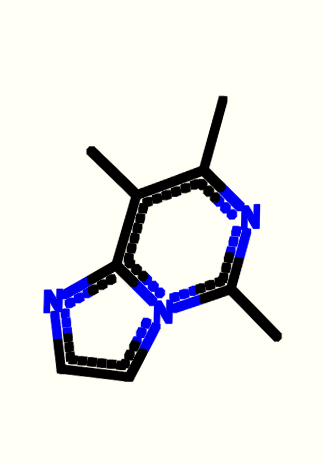 Cc1nc(C)n2ccnc2c1C